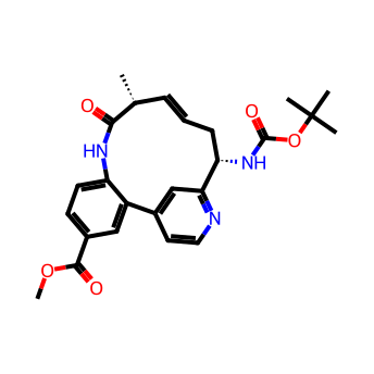 COC(=O)c1ccc2c(c1)-c1ccnc(c1)[C@@H](NC(=O)OC(C)(C)C)C/C=C/[C@@H](C)C(=O)N2